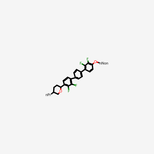 CCCCCCCCCOc1ccc(-c2ccc(-c3ccc(C4CCC(CCC)CO4)c(F)c3F)cc2)c(F)c1F